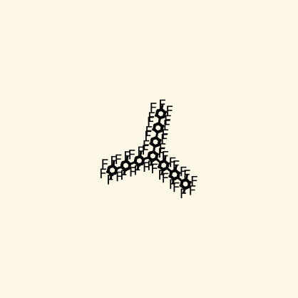 Fc1c(F)c(F)c(-c2c(F)c(F)c(-c3c(F)c(F)c(-c4c(F)c(-c5c(F)c(F)c(-c6c(F)c(F)c(-c7c(F)c(F)c(F)c(F)c7F)c(F)c6F)c(F)c5F)c(F)c(-c5c(F)c(F)c(-c6c(F)c(F)c(-c7c(F)c(F)c(F)c(F)c7F)c(F)c6F)c(F)c5F)c4F)c(F)c3F)c(F)c2F)c(F)c1F